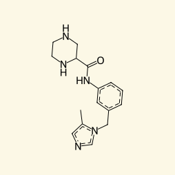 Cc1cncn1Cc1cccc(NC(=O)C2CNCCN2)c1